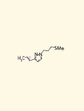 C/C=C/c1ccn(CCCSC)n1